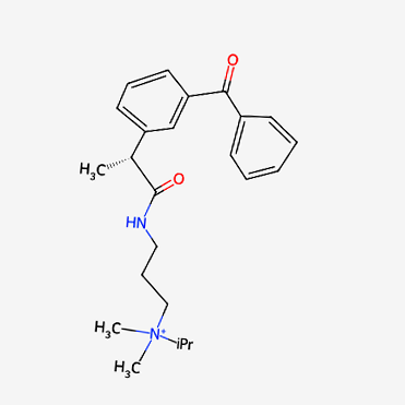 CC(C)[N+](C)(C)CCCNC(=O)[C@H](C)c1cccc(C(=O)c2ccccc2)c1